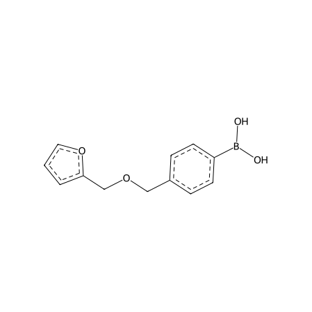 OB(O)c1ccc(COCc2ccco2)cc1